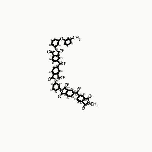 Cc1cccc(Oc2cccc(N3C(=O)c4ccc(C(=O)c5ccc6c(c5)C(=O)N(c5cccc(N7C(=O)c8ccc(C(=O)c9ccc%10c(c9)C(=O)N(C)C%10=O)cc8C7=O)c5)C6=O)cc4C3=O)c2)c1